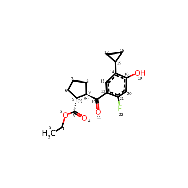 CCOC(=O)[C@@H]1CCC[C@H]1C(=O)c1cc(C2CC2)c(O)cc1F